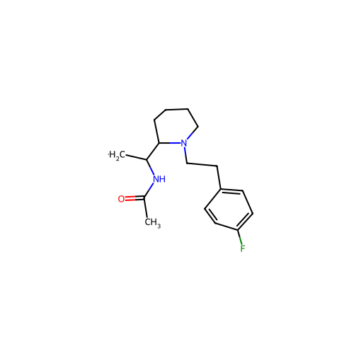 [CH2]C(NC(C)=O)C1CCCCN1CCc1ccc(F)cc1